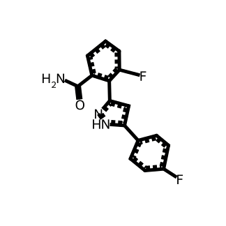 NC(=O)c1cccc(F)c1-c1cc(-c2ccc(F)cc2)[nH]n1